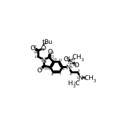 CN(C)CCN(c1ccc2c(c1)C(=O)N(CC(=O)OC(C)(C)C)C2=O)S(C)(=O)=O